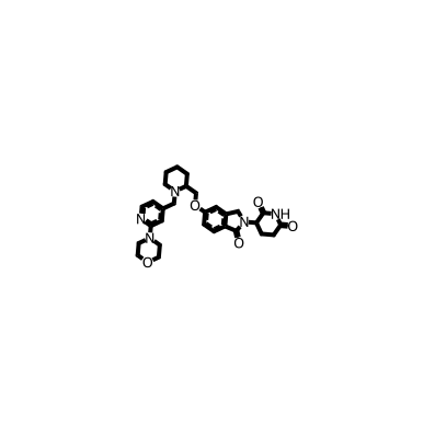 O=C1CCC(N2Cc3cc(OCC4CCCCN4Cc4ccnc(N5CCOCC5)c4)ccc3C2=O)C(=O)N1